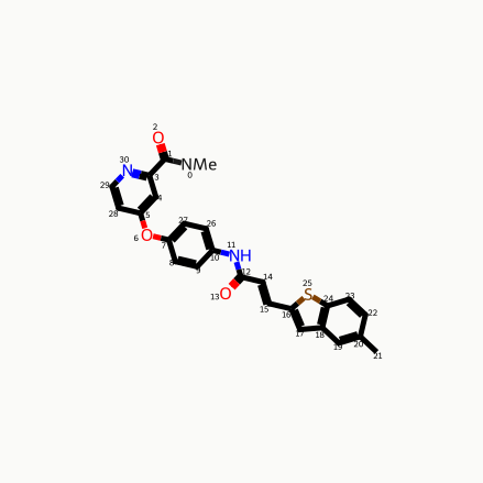 CNC(=O)c1cc(Oc2ccc(NC(=O)C=Cc3cc4cc(C)ccc4s3)cc2)ccn1